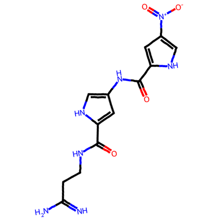 N=C(N)CCNC(=O)c1cc(NC(=O)c2cc([N+](=O)[O-])c[nH]2)c[nH]1